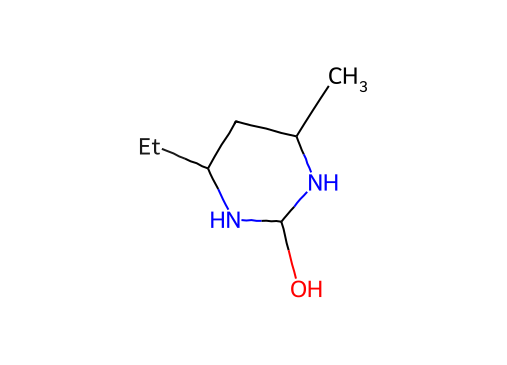 CCC1CC(C)NC(O)N1